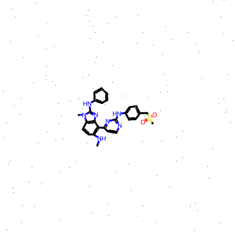 CNc1ccc2c(nc(Nc3ccccc3)n2C)c1-c1ccnc(Nc2ccc(CS(C)(=O)=O)cc2)n1